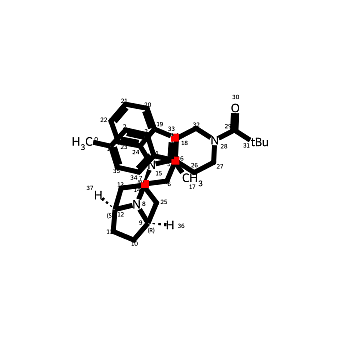 Cc1ccc(C2(CCN3[C@@H]4CC[C@H]3C[C@@H](n3c(C)nc5ccccc53)C4)CCN(C(=O)C(C)(C)C)CC2)cc1